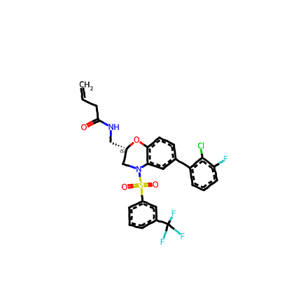 C=CCC(=O)NC[C@H]1CN(S(=O)(=O)c2cccc(C(F)(F)F)c2)c2cc(-c3cccc(F)c3Cl)ccc2O1